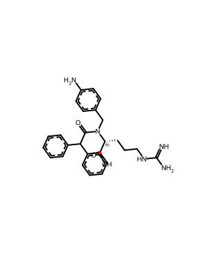 N=C(N)NCCC[C@H](C(=O)O)N(Cc1ccc(N)cc1)C(=O)C(c1ccccc1)c1ccccc1